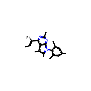 CC=C(CC)c1nc(C)nc2c1c(C)c(C)n2-c1c(C)cc(C)cc1C